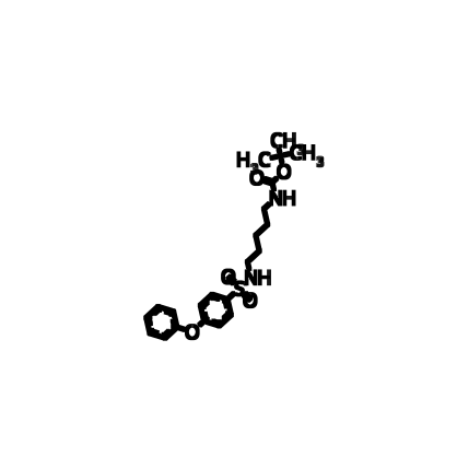 CC(C)(C)OC(=O)NCCCCCNS(=O)(=O)c1ccc(Oc2ccccc2)cc1